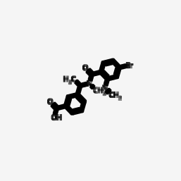 C=Nc1cc(Br)ccc1C(=O)N(C)C(C)c1cccc(C(=O)O)c1